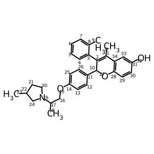 CC1=C(c2ccccc2C)C(c2ccc(OCC(C)N3CCC(C)C3)cc2)Oc2ccc(O)cc21